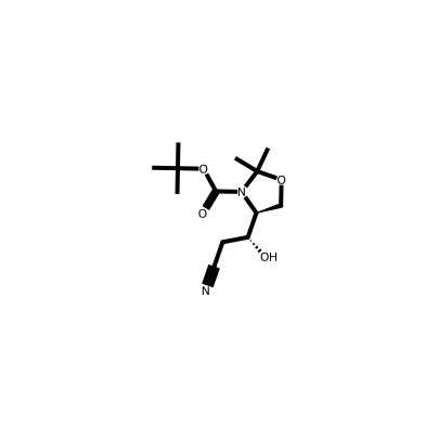 CC(C)(C)OC(=O)N1[C@H]([C@H](O)CC#N)COC1(C)C